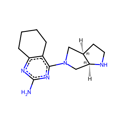 Nc1nc2c(c(N3C[C@H]4CCN[C@H]4C3)n1)CCCC2